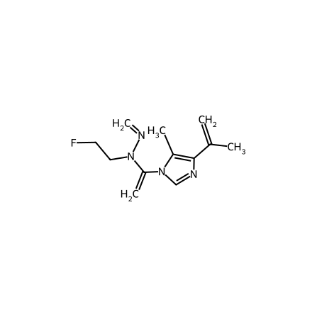 C=NN(CCF)C(=C)n1cnc(C(=C)C)c1C